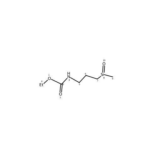 CCOC(=O)NCCC[Si](C)=O